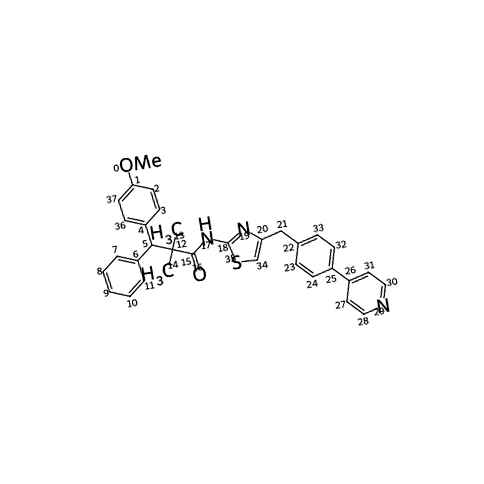 COc1ccc(C(c2ccccc2)C(C)(C)C(=O)Nc2nc(Cc3ccc(-c4ccncc4)cc3)cs2)cc1